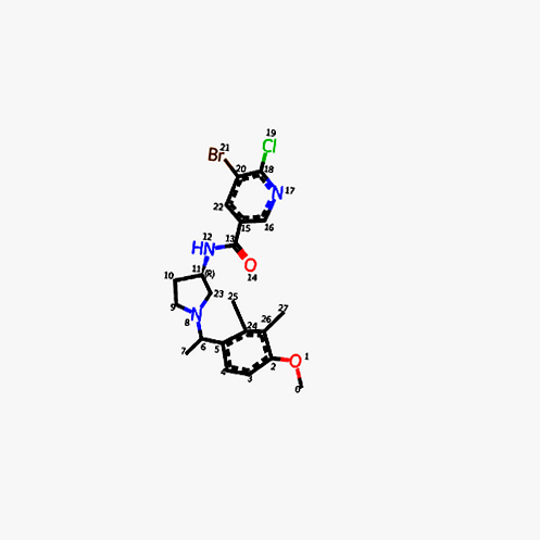 COc1ccc(C(C)N2CC[C@@H](NC(=O)c3cnc(Cl)c(Br)c3)C2)c(C)c1C